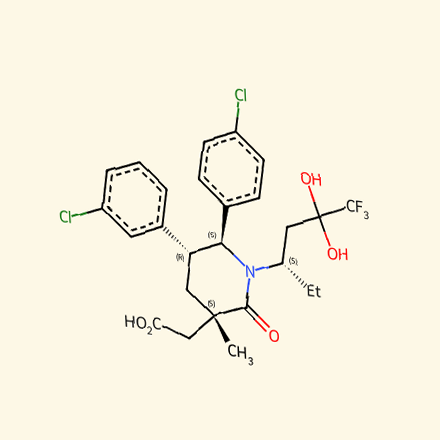 CC[C@@H](CC(O)(O)C(F)(F)F)N1C(=O)[C@](C)(CC(=O)O)C[C@H](c2cccc(Cl)c2)[C@H]1c1ccc(Cl)cc1